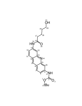 CC(C)(C)OC(=O)Nc1ccc2cc3ccc(NC(=O)CCCCO)cc3nc2c1